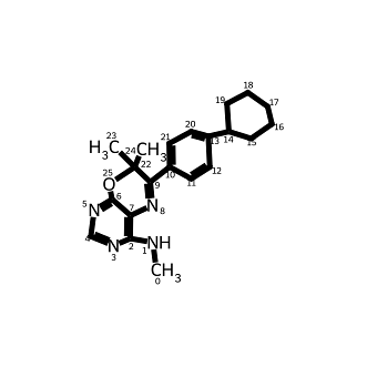 CNc1ncnc2c1N=C(c1ccc(C3CCCCC3)cc1)C(C)(C)O2